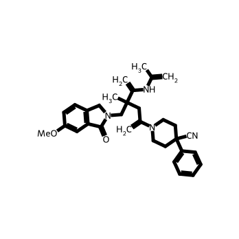 C=C(C)NC(=C)C(C)(CC(=C)N1CCC(C#N)(c2ccccc2)CC1)CN1Cc2ccc(OC)cc2C1=O